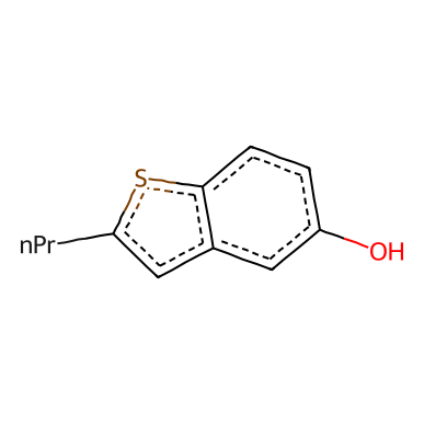 CCCc1cc2cc(O)ccc2s1